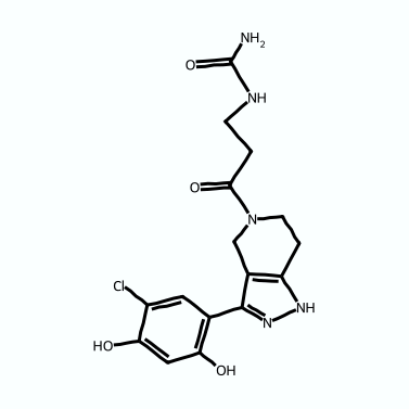 NC(=O)NCCC(=O)N1CCc2[nH]nc(-c3cc(Cl)c(O)cc3O)c2C1